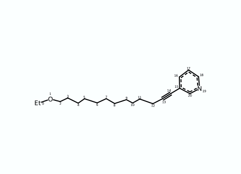 CCOCCCCCCCCCCCC#Cc1cccnc1